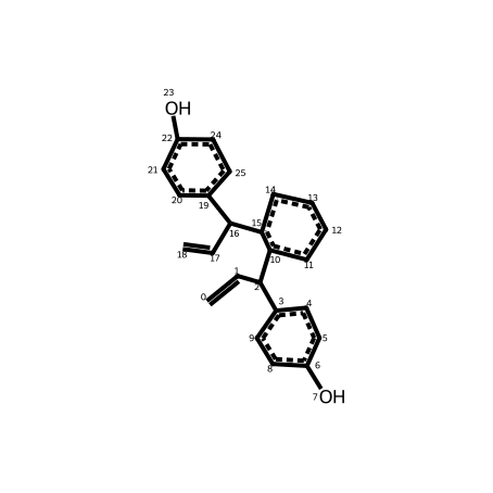 C=CC(c1ccc(O)cc1)c1ccccc1C(C=C)c1ccc(O)cc1